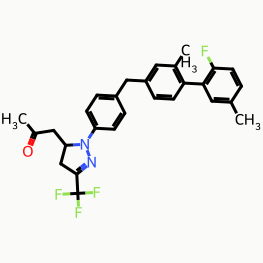 CC(=O)CC1CC(C(F)(F)F)=NN1c1ccc(Cc2ccc(-c3cc(C)ccc3F)c(C)c2)cc1